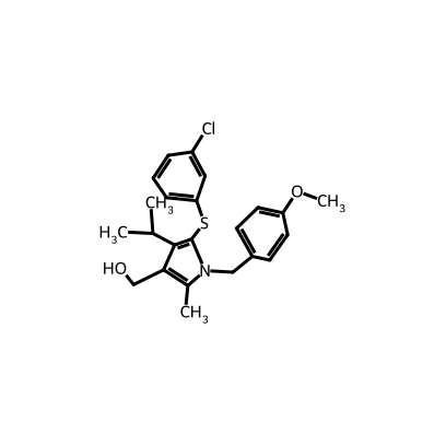 COc1ccc(Cn2c(C)c(CO)c(C(C)C)c2Sc2cccc(Cl)c2)cc1